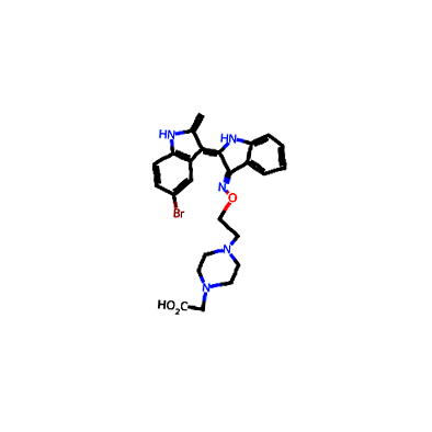 C=c1[nH]c2ccc(Br)cc2/c1=C1/Nc2ccccc2/C1=N\OCCN1CCN(CC(=O)O)CC1